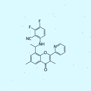 Cc1cc(C(C)Nc2ccc(F)c(F)c2C#N)c2oc(-c3ccccn3)c(C)c(=O)c2c1